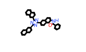 c1ccc(C2Nc3ccc4cc(-c5nc(-c6ccc7ccccc7c6)nc(-c6ccc7ccccc7c6)n5)ccc4c3O2)cc1